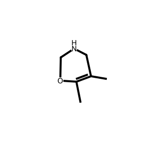 CC1=C(C)OCNC1